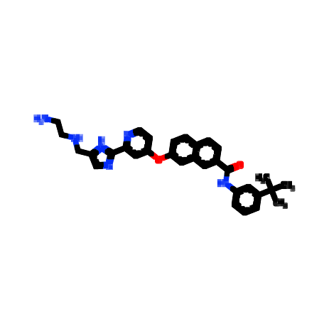 CC(C)(C)c1cccc(NC(=O)c2ccc3ccc(Oc4ccnc(-c5ncc(CNCCN)[nH]5)c4)cc3c2)c1